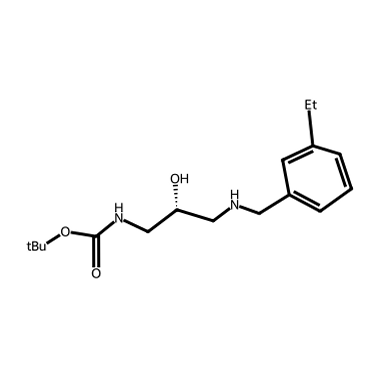 CCc1cccc(CNC[C@@H](O)CNC(=O)OC(C)(C)C)c1